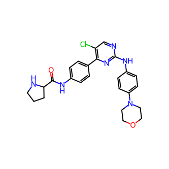 O=C(Nc1ccc(-c2nc(Nc3ccc(N4CCOCC4)cc3)ncc2Cl)cc1)C1CCCN1